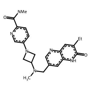 CCc1cc2ncc(CN(C)C3CN(c4ccc(C(=O)NC)nc4)C3)cc2[nH]c1=O